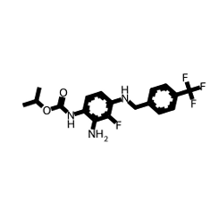 CC(C)OC(=O)Nc1ccc(NCc2ccc(C(F)(F)F)cc2)c(F)c1N